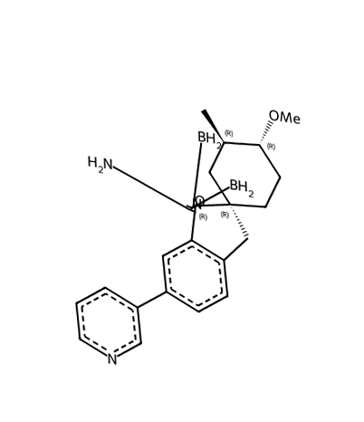 BC1(B)OC(N)=N[C@]12c1cc(-c3cccnc3)ccc1C[C@]21CC[C@@H](OC)[C@H](C)C1